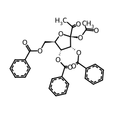 CC(=O)O[C@]1(C(C)=O)O[C@H](COC(=O)c2ccccc2)[C@@H](OC(=O)c2ccccc2)[C@H]1OC(=O)c1ccccc1